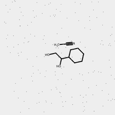 CC#N.OCC(O)C1CCCCC1